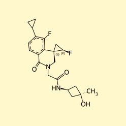 C[C@]1(O)C[C@@H](NC(=O)CN2C[C@]3(C[C@H]3F)c3c(ccc(C4CC4)c3F)C2=O)C1